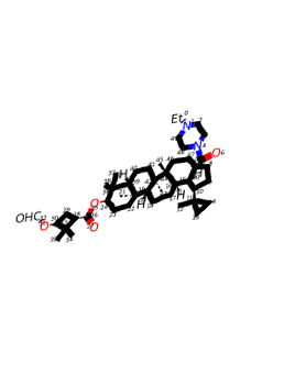 CCN1CCN(C(=O)[C@]23CC[C@@H](C4(C)CC4)[C@@H]2[C@H]2CC[C@@H]4[C@@]5(C)CC[C@H](OC(=O)[C@H]6C[C@@H](OC=O)C6(C)C)C(C)(C)[C@@H]5CC[C@@]4(C)[C@]2(C)CC3)CC1